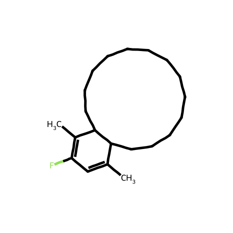 CC1=CC(F)=C(C)C2CCCCCCCCCCCCCC12